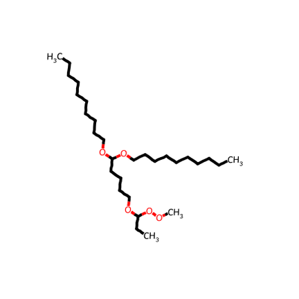 CCCCCCCCCCOC(CCCCOC(CC)OOC)OCCCCCCCCCC